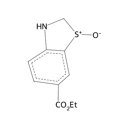 CCOC(=O)c1ccc2c(c1)[S+]([O-])CN2